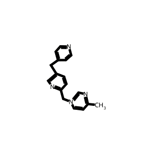 Cc1cc[n+](Cc2ccc(Cc3ccncc3)cn2)cn1